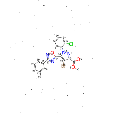 COC(=O)c1nn(-c2ccccc2Cl)c(-c2nc(-c3cccc(C)c3)no2)c1Br